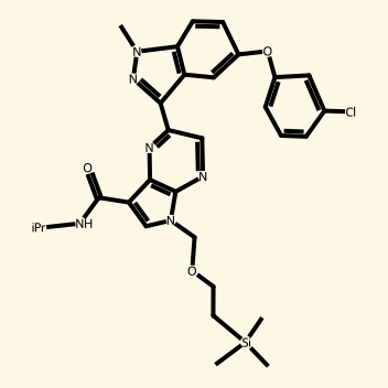 CC(C)NC(=O)c1cn(COCC[Si](C)(C)C)c2ncc(-c3nn(C)c4ccc(Oc5cccc(Cl)c5)cc34)nc12